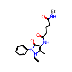 C=Cn1c(C)c(NC(=O)CCCC(=O)NCC)c(=O)n1-c1ccccc1